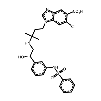 CC(C)(CCn1cnc2cc(C(=O)O)c(Cl)cc21)NC[C@@H](O)c1cccc(NS(=O)(=O)c2ccccc2)c1